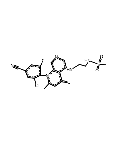 Cc1cc(=O)c2c(NCCNS(C)(=O)=O)cncc2n1-c1c(Cl)cc(C#N)cc1Cl